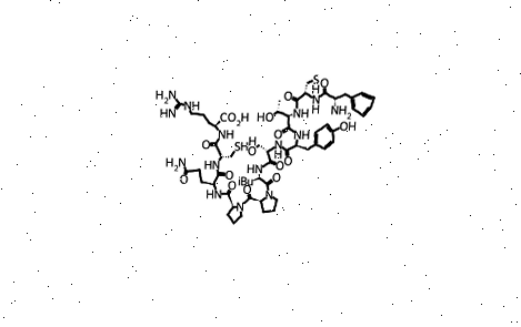 CC[C@H](C)[C@H](NC(=O)[C@H](CO)NC(=O)[C@H](Cc1ccc(O)cc1)NC(=O)[C@@H](NC(=O)[C@H](CS)NC(=O)[C@@H](N)Cc1ccccc1)[C@@H](C)O)C(=O)N1CCC[C@H]1C(=O)N1CCC[C@H]1C(=O)N[C@@H](CCC(N)=O)C(=O)N[C@@H](CS)C(=O)N[C@@H](CCCNC(=N)N)C(=O)O